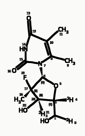 [2H]C(O)[C@@]1([2H])O[C@@H](n2c(C)c(C)c(=O)[nH]c2=O)[C@](C)(F)[C@]1([2H])O